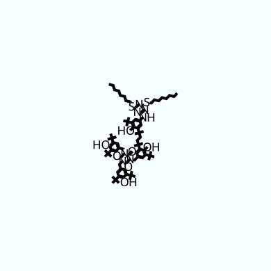 CCCCCCCCSc1nc(Nc2cc(C(C)(C)C)c(O)c(C(C)(C)CCC(C)(C)c3cc(Cn4c(=O)n(Cc5cc(C(C)(C)C)c(O)c(C(C)(C)C)c5)c(=O)n(Cc5cc(C(C)(C)C)c(O)c(C(C)(C)C)c5)c4=O)cc(C(C)(C)C)c3O)c2)nc(SCCCCCCCC)n1